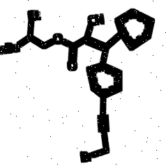 CCCCC(CC)COC(=O)/C(C#N)=C(/c1ccccc1)c1ccc(C#CCBr)cc1